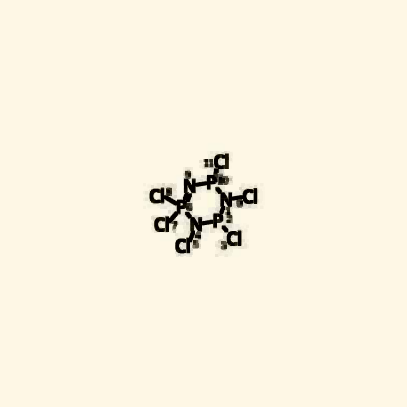 ClN1P(Cl)N(Cl)P(Cl)(Cl)=N[P@@]1Cl